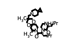 CC(C)C[C@@H]1NCCN([C@@H](CC(C)C)C(=O)N2CCC3(C[C@@H]2C)OCC(C)(CN2CCC4(CC2)CC4)CO3)C1=O